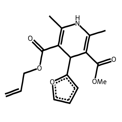 C=CCOC(=O)C1=C(C)NC(C)=C(C(=O)OC)C1c1ccco1